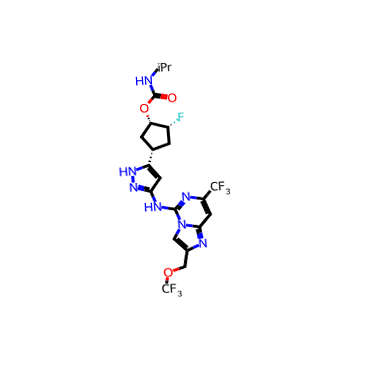 CC(C)NC(=O)O[C@H]1C[C@@H](c2cc(Nc3nc(C(F)(F)F)cc4nc(COC(F)(F)F)cn34)n[nH]2)C[C@H]1F